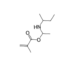 C=C(C)C(=O)OC(C)NC(C)CC